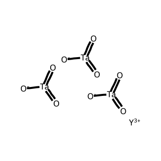 [O]=[Ta](=[O])[O-].[O]=[Ta](=[O])[O-].[O]=[Ta](=[O])[O-].[Y+3]